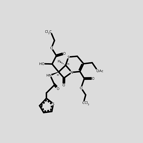 CC(=O)OCC1=C(C(=O)OCC(Cl)(Cl)Cl)N2C(=O)[C@](NC(=O)Cc3cccs3)(C(O)C(=O)OCC(Cl)(Cl)Cl)[C@H]2SC1